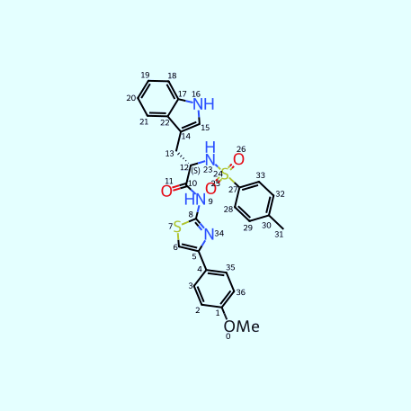 COc1ccc(-c2csc(NC(=O)[C@H](Cc3c[nH]c4ccccc34)NS(=O)(=O)c3ccc(C)cc3)n2)cc1